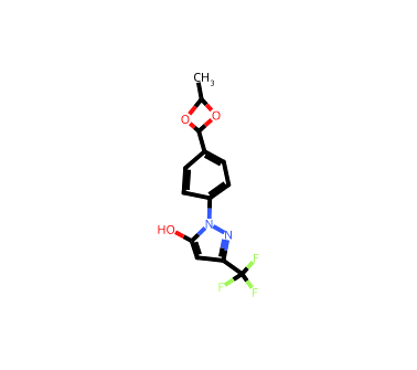 CC1OC(c2ccc(-n3nc(C(F)(F)F)cc3O)cc2)O1